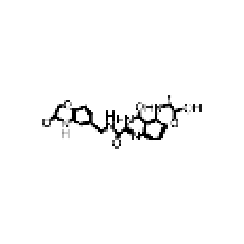 C[C@H](Nc1cccc2nc(C(=O)NCc3ccc4c(c3)NC(=O)CO4)[nH]c(=O)c12)C(=O)O